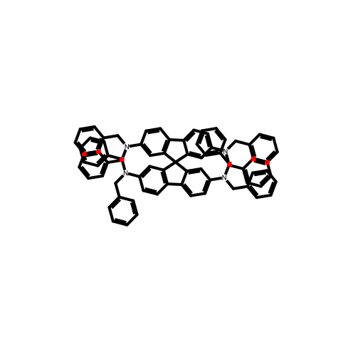 c1ccc(CN(Cc2ccccc2)c2ccc3c(c2)C2(c4cc(N(Cc5ccccc5)Cc5ccccc5)ccc4-3)c3cc(N(Cc4ccccc4)Cc4ccccc4)ccc3-c3ccc(N(Cc4ccccc4)Cc4ccccc4)cc32)cc1